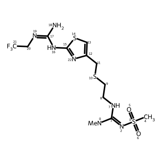 CN/C(=N/S(C)(=O)=O)NCCSCc1csc(N/C(N)=N\CC(F)(F)F)n1